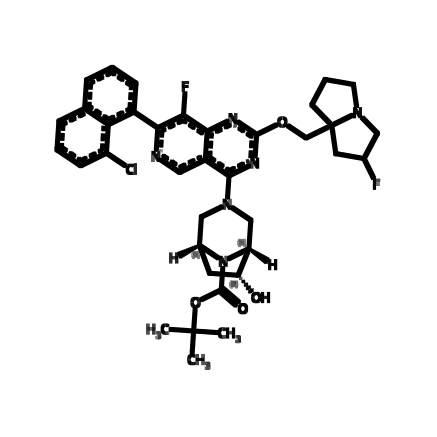 CC(C)(C)OC(=O)N1[C@@H]2C[C@@H](O)[C@H]1CN(c1nc(OCC34CCCN3CC(F)C4)nc3c(F)c(-c4cccc5cccc(Cl)c45)ncc13)C2